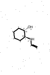 C=CN[C@H]1CCCC[C@@H]1O